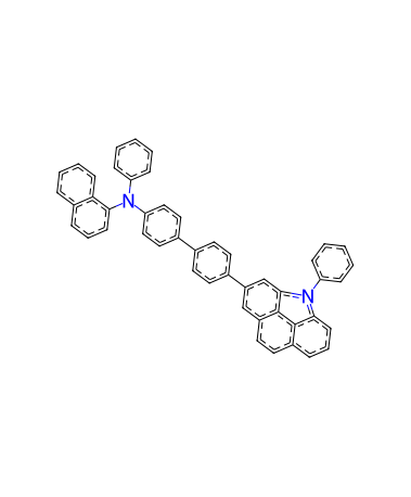 c1ccc(N(c2ccc(-c3ccc(-c4cc5ccc6cccc7c6c5c(c4)n7-c4ccccc4)cc3)cc2)c2cccc3ccccc23)cc1